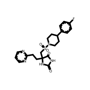 O=C1NC(=O)C(CCc2ncccn2)(CS(=O)(=O)N2CCC(c3ccc(F)cc3)CC2)N1